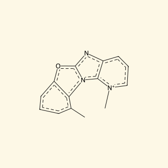 Cc1cccc2oc3nc4ccc[n+](C)c4n3c12